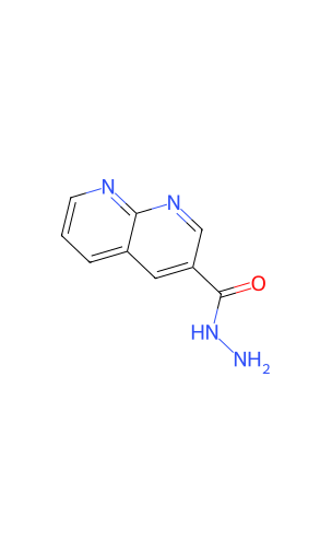 NNC(=O)c1cnc2ncccc2c1